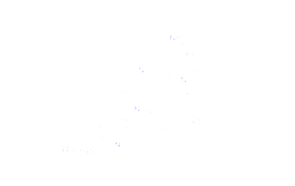 COc1ccc(N(C(=O)c2ccc(C(N)=O)cn2)c2ccc(Cl)c(-c3ccccn3)c2)cn1